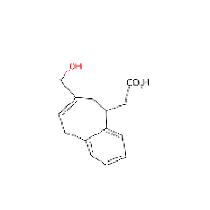 O=C(O)CC1CC(CO)=CCc2ccccc21